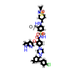 CC1(C)CCC(CN2CCN(c3ccc(C(=O)NS(=O)(=O)c4ccc(NCC5CCS(=O)(=NC6CC6)CC5)c([N+](=O)[O-])c4)c(Oc4cnc5[nH]ccc5c4)c3)CC2)=C(c2ccc(Cl)cc2)C1